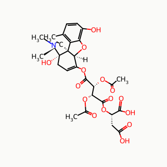 CC(=O)O[C@@H](C(=O)OC1=CC[C@@]2(O)[C@@H](C)N(C)CC[C@@]23c2c(C)ccc(O)c2O[C@@H]13)[C@@H](OC(C)=O)C(=O)O[C@@H](CC(=O)O)C(=O)O